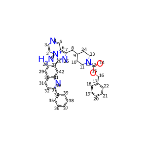 N[N+]12C=CN=CC1=C(CC1CCN(C(=O)OCc3ccccc3)CC1)N=C2c1ccc2ccc(-c3ccccc3)nc2c1